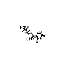 CCO[C@@H](CCC(C)(C)[Si](C)(C)O)c1ccc(Br)cc1C